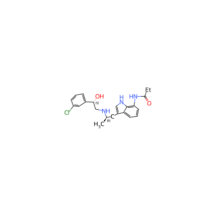 CCC(=O)Nc1cccc2c(C[C@@H](C)NC[C@@H](O)c3cccc(Cl)c3)c[nH]c12